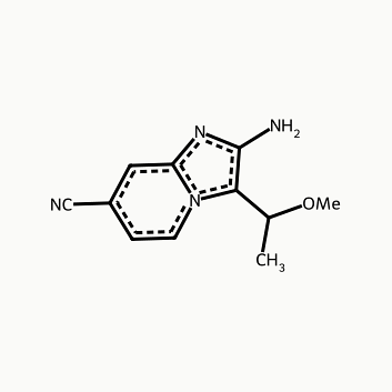 COC(C)c1c(N)nc2cc(C#N)ccn12